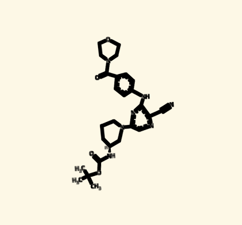 CC(C)(C)OC(=O)N[C@@H]1CCCN(c2cnc(C#N)c(Nc3ccc(C(=O)N4CCOCC4)cc3)n2)C1